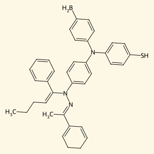 Bc1ccc(N(c2ccc(S)cc2)c2ccc(N(/N=C(\C)C3=CCCC=C3)/C(=C/CCC)c3ccccc3)cc2)cc1